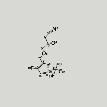 N#CCC(=O)COCc1cc(C(F)(F)F)ccc1F